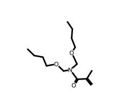 C=C(C)C(=O)N(COCCCC)COCCCC